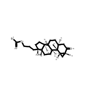 CCC(=O)OCCC[C@]1(O)CC[C@H]2[C@@H]3CC[C@H]4CC(=O)[C@@H]5C[C@@H]5[C@]4(C)[C@H]3CC[C@@]21C